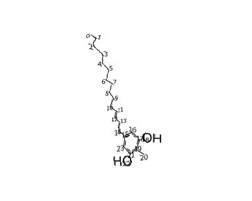 CCCCCCCCCC=CC=CC=Cc1cc(O)c(C)c(O)c1